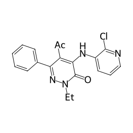 CCn1nc(-c2ccccc2)c(C(C)=O)c(Nc2cccnc2Cl)c1=O